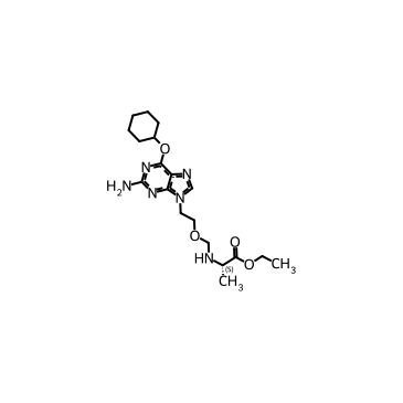 CCOC(=O)[C@H](C)NCOCCn1cnc2c(OC3CCCCC3)nc(N)nc21